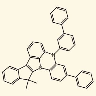 CC1(C)C2=C(c3ccccc31)c1cccc3c1B2c1ccc(-c2ccccc2)cc1N3c1cccc(-c2ccccc2)c1